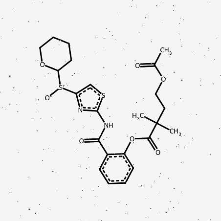 CC(=O)OCCC(C)(C)C(=O)Oc1ccccc1C(=O)Nc1nc([S+]([O-])C2CCCCO2)cs1